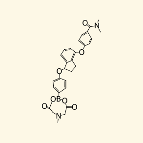 CN1CC(=O)OB(c2ccc(OC3CCc4c(Oc5ccc(C(=O)N(C)C)cc5)cccc43)cc2)OC(=O)C1